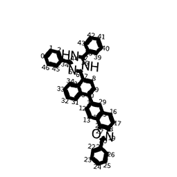 c1ccc(C2=NC(c3ccc(-c4ccc5c(ccc6nc(-c7ccccc7)oc65)c4)c4ccccc34)NC(c3ccccc3)N2)cc1